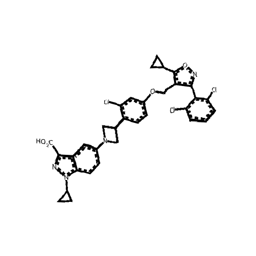 O=C(O)c1nn(C2CC2)c2ccc(N3CC(c4ccc(OCc5c(-c6c(Cl)cccc6Cl)noc5C5CC5)cc4Cl)C3)cc12